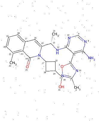 Cc1noc(-c2c(N)ncnc2N[C@@H](C)c2cc3cccc(C)c3c(=O)n2C2CC(CO)C2)n1